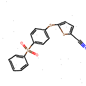 N#Cc1ccc(Sc2ccc(S(=O)(=O)c3ccccc3)cc2)s1